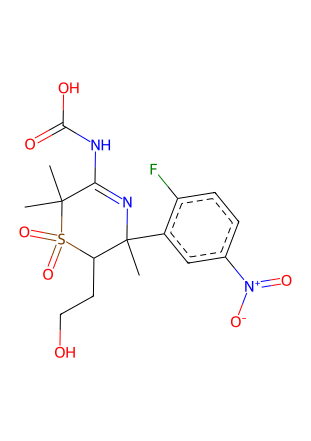 CC1(c2cc([N+](=O)[O-])ccc2F)N=C(NC(=O)O)C(C)(C)S(=O)(=O)C1CCO